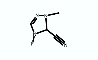 CN1N=CN(F)C1C#N